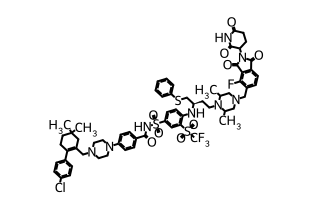 CC1CN(Cc2ccc3c(c2F)C(=O)N(C2CCC(=O)NC2=O)C3=O)CC(C)N1CC[C@H](CSc1ccccc1)Nc1ccc(S(=O)(=O)NC(=O)c2ccc(N3CCN(CC4=C(c5ccc(Cl)cc5)CCC(C)(C)C4)CC3)cc2)cc1S(=O)(=O)C(F)(F)F